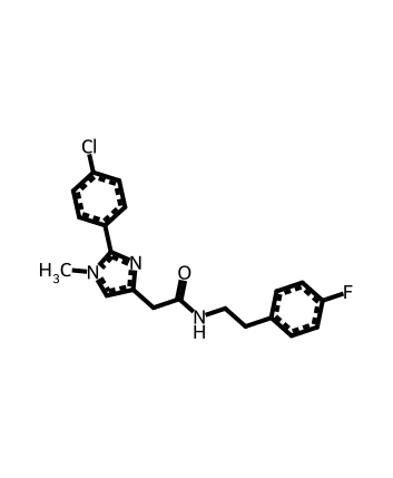 Cn1cc(CC(=O)NCCc2ccc(F)cc2)nc1-c1ccc(Cl)cc1